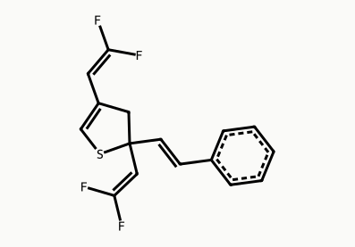 FC(F)=CC1=CSC(C=Cc2ccccc2)(C=C(F)F)C1